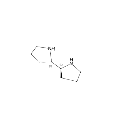 C1CN[C@H]([C@@H]2CCCN2)C1